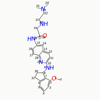 COc1cccc2c1C(Nc1ccc3cc(NC(=O)CNCCN(C)C)ccc3n1)CC2